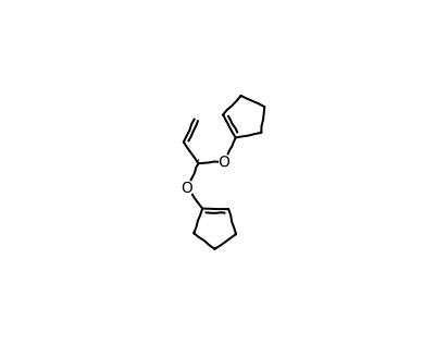 C=C[C](OC1=CCCC1)OC1=CCCC1